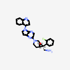 NC[C@]1(c2ccccc2F)[C@@H]2CCN(c3cnc4c(ccn4-c4ccnc5ccccc45)n3)C[C@@H]21